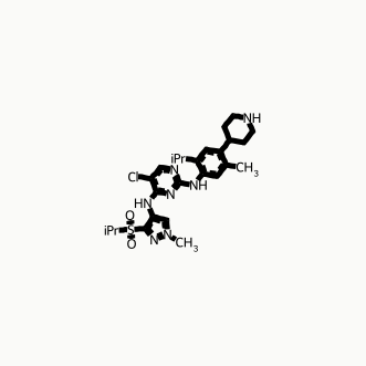 Cc1cc(Nc2ncc(Cl)c(Nc3cn(C)nc3S(=O)(=O)C(C)C)n2)c(C(C)C)cc1C1CCNCC1